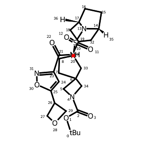 CC(C)(C)OC(=O)N1CC2(CCN(S(=O)(=O)N3[C@@H]4CC[C@H]3CC(NC(=O)c3cc(C5COC5)on3)C4)C2)C1